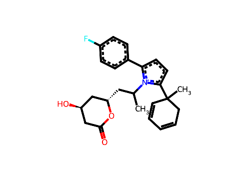 CC(C[C@H]1C[C@H](O)CC(=O)O1)n1c(-c2ccc(F)cc2)ccc1C1(C)C=CC=CC1